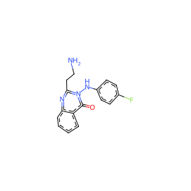 NCCc1nc2ccccc2c(=O)n1Nc1ccc(F)cc1